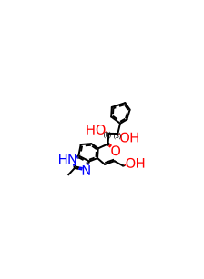 Cc1nc2c(C=CCO)c(C(=O)[C@H](O)[C@@H](O)c3ccccc3)ccc2[nH]1